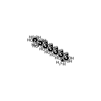 CC(=O)N[C@H]1[C@H](O[C@H]2[C@@H](O)[C@@H](CO)O[C@H](O[C@H]3[C@@H](O)[C@@H](CO)O[C@H](O[C@H]4[C@@H](O)[C@@H](CO)O[C@H](O[C@H]5[C@@H](O)[C@@H](CO)O[C@H](O[C@@H]6[C@H](O)[C@@H](O)[C@H](O[C@H]7[C@H](O)[C@@H](O)[C@H](O)O[C@@H]7CO)O[C@@H]6CO)[C@@H]5O)[C@@H]4O)[C@@H]3O)[C@@H]2O)O[C@H](CO)[C@H](O)[C@@H]1O